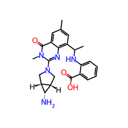 Cc1cc(C(C)Nc2ccccc2C(=O)O)c2nc(N3C[C@@H]4[C@H](N)[C@@H]4C3)n(C)c(=O)c2c1